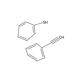 C#Cc1ccccc1.Sc1ccccc1